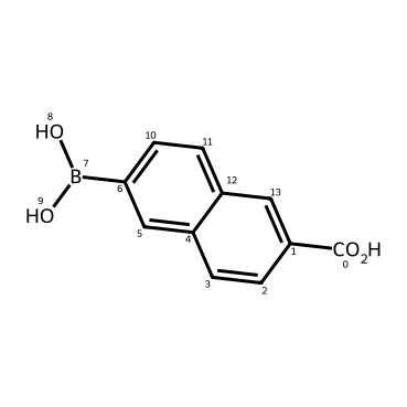 O=C(O)c1ccc2cc(B(O)O)ccc2c1